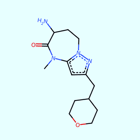 CN1C(=O)C(N)CCn2nc(CC3CCOCC3)cc21